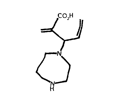 C=CC(C(=C)C(=O)O)N1CCNCC1